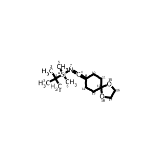 CC(C)(C)[Si](C)(C)N=C=C1CCC2(CC1)OCCO2